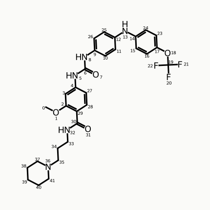 COc1cc(NC(=O)Nc2ccc(Nc3ccc(OC(F)(F)F)cc3)cc2)ccc1C(=O)NCCCN1CCCCC1